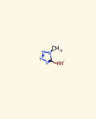 Cn1nnnc1Br